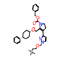 C[Si](C)(C)CCOCn1ccc(C2=C(CO[C@H]3CC[C@@H](c4ccccc4)CC3)N(C(=O)OCc3ccccc3)CC2)n1